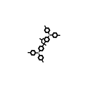 Cc1ccc(N(c2ccc(C)cc2)c2ccc(C(C)(CC(C)C)c3ccc(N(c4ccc(C)cc4)c4ccc(C)cc4)cc3)cc2)cc1